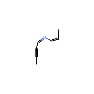 CC#C/C=N\C=C/C